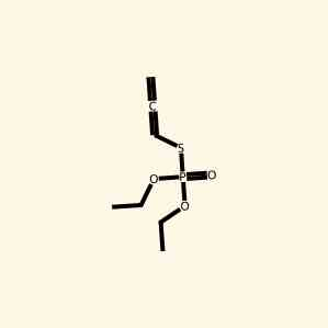 C=C=CSP(=O)(OCC)OCC